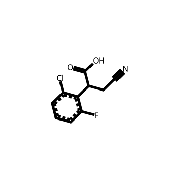 N#CCC(C(=O)O)c1c(F)cccc1Cl